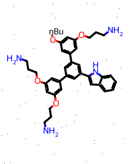 CCCCOc1cc(OCCCN)cc(-c2cc(-c3cc(OCCCN)cc(OCCCN)c3)cc(-c3cc4ccccc4[nH]3)c2)c1